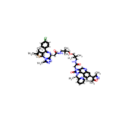 COc1cc2c(cc1-c1c(C)noc1C)ncc1c2n([C@H](C)c2ccccn2)c(=O)n1CC(=O)NCC(C)(C)COCC(C)(C)CNC(=O)C[C@@H]1N=C(c2ccc(Cl)cc2)c2c(sc(C)c2C)-n2c(C)nnc21